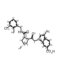 CC(=O)c1cn(CC(=O)N2C[C@H](F)C[C@H]2C(=O)NCc2cccc(Cl)c2F)c2cc(C(=O)O)ccc12